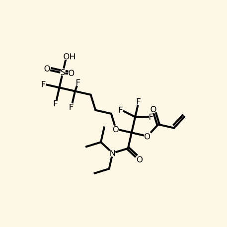 C=CC(=O)OC(OCCCC(F)(F)C(F)(F)S(=O)(=O)O)(C(=O)N(CC)C(C)C)C(F)(F)F